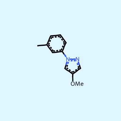 COc1cnn(-c2cccc(C)c2)c1